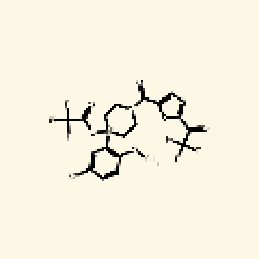 COc1ccc(Cl)cc1[N+]1(OC(=O)C(F)(F)F)CCN(C(=O)c2ccc(C(=O)C(F)(F)F)s2)CC1